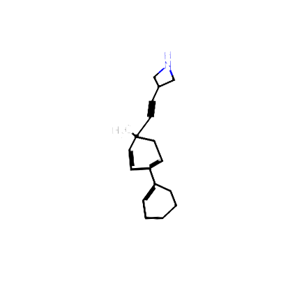 CC1(C#CC2CNC2)C=CC(C2=CCCCC2)=CC1